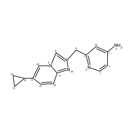 Nc1ccnc(Cc2cn3cc(C4CC4)ccc3n2)c1